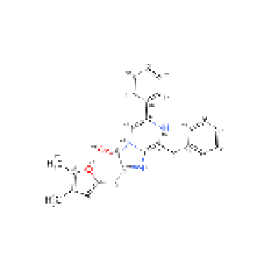 Cc1cc(Cc2nc3c(Cc4ccccc4)[nH]c(-c4ccccc4)cn-3c2=O)oc1C